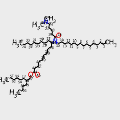 CCCCCCCCCCCCCCCCN(C(=O)CCCCN(C)C)C(CCCCCCCCC)CCCCCCCCC(=O)OCC(CCCC)CCCCCC